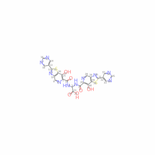 O=C(NC(NC(=O)c1ncc2nc(-c3cncnc3)sc2c1O)C(=O)O)c1ncc2nc(-c3cncnc3)sc2c1O